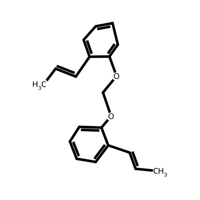 CC=Cc1ccccc1OCOc1ccccc1C=CC